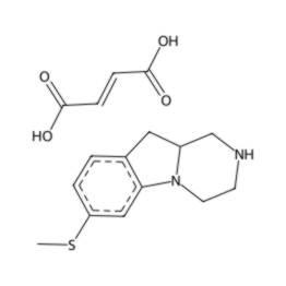 CSc1ccc2c(c1)N1CCNCC1C2.O=C(O)C=CC(=O)O